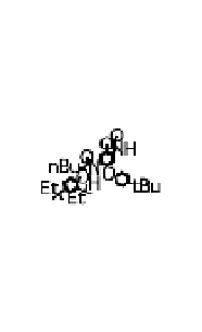 CCCCC(Oc1ccc(C(C)(C)CC)cc1C(C)(C)CC)C(=O)Nc1cc2oc(=O)[nH]c2cc1Oc1ccc(C(C)(C)C)cc1